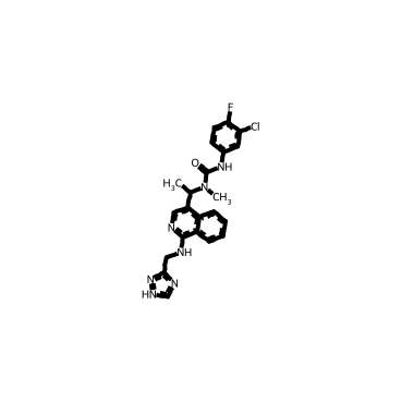 CC(c1cnc(NCc2nc[nH]n2)c2ccccc12)N(C)C(=O)Nc1ccc(F)c(Cl)c1